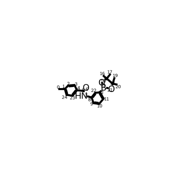 Cc1ccc(C(=O)Nc2cccc(B3OC(C)(C)C(C)(C)O3)c2)cc1